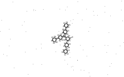 Cc1cc(-c2ccc(-c3ccccc3)cc2)cc(N(c2ccc(-c3ccccc3)cc2)c2ccc(-c3ccccc3)cc2)c1